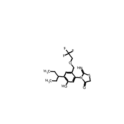 CCC(CC)c1cc(COCC(F)(F)F)c(N2C(=N)SCC2=O)cc1O